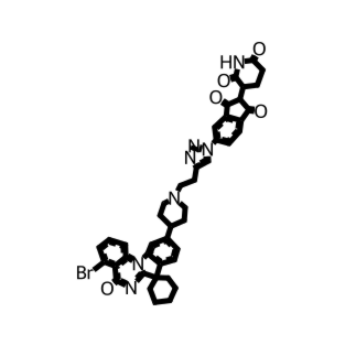 O=C1CCC(C2C(=O)c3ccc(-n4cc(CCN5CCC(c6ccc7c(c6)-n6c(nc(=O)c8c(Br)cccc86)C76CCCCC6)CC5)nn4)cc3C2=O)C(=O)N1